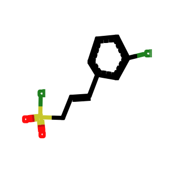 O=S(=O)(Cl)CC=Cc1cccc(Cl)c1